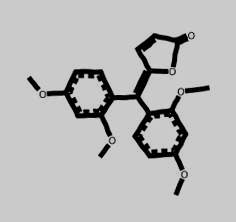 COc1ccc(C(=C2C=CC(=O)O2)c2ccc(OC)cc2OC)c(OC)c1